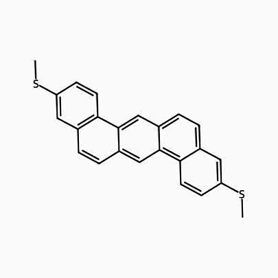 CSc1ccc2c(ccc3cc4c(ccc5cc(SC)ccc54)cc32)c1